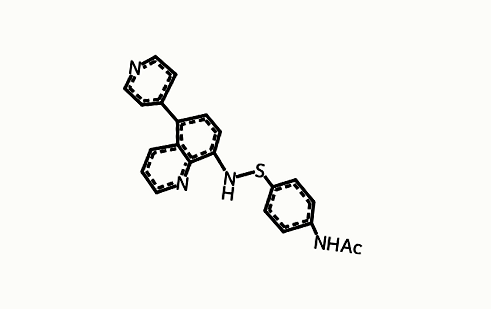 CC(=O)Nc1ccc(SNc2ccc(-c3ccncc3)c3cccnc23)cc1